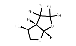 [2H]C1([2H])O[C@@H]2OC[C@@H](O)[C@@H]2C1([2H])[2H]